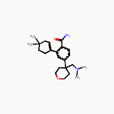 CN(C)CC1(c2ccc(C(N)=O)c(C3=CCC(C)(C)CC3)c2)CCOCC1